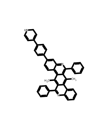 Cc1c2c(-c3ccccc3)nc3cc(-c4ccc(C5=CCNC=C5)cc4)ccc3c2c(C)c2c(-c3ccccc3)nc3ccccc3c12